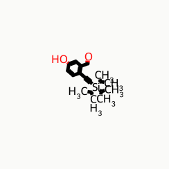 CC(C)[Si](C#Cc1ccc(O)cc1C=O)(C(C)C)C(C)C